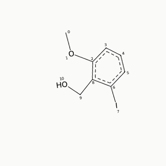 COc1cccc(I)c1CO